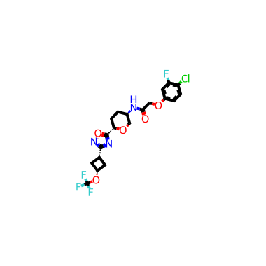 O=C(COc1ccc(Cl)c(F)c1)N[C@@H]1CC[C@@H](c2nc([C@H]3C[C@@H](OC(F)(F)F)C3)no2)OC1